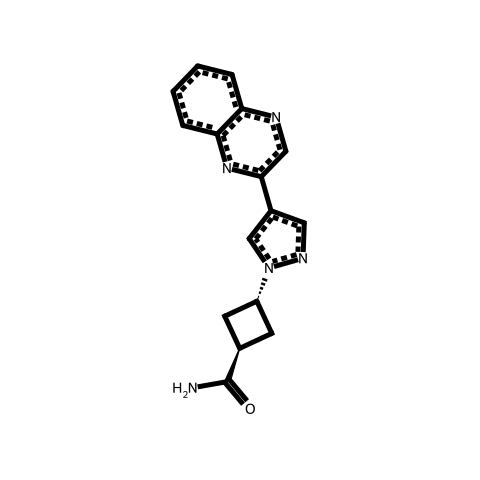 NC(=O)[C@H]1C[C@H](n2cc(-c3cnc4ccccc4n3)cn2)C1